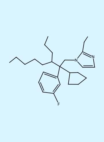 CCCCCC(CCC)C(Cn1ccnc1CC)(c1cccc(F)c1)C1CCCC1